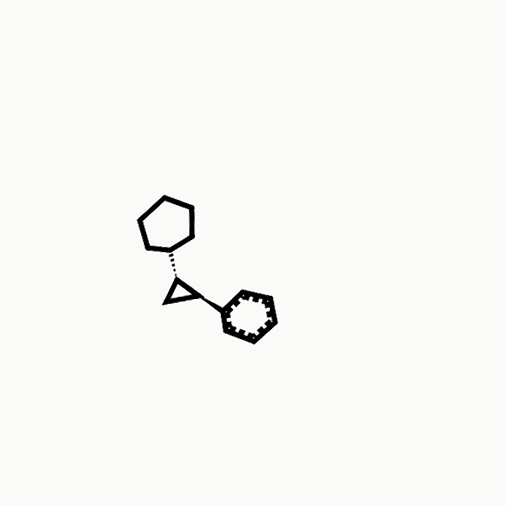 c1ccc([C@H]2C[C@@H]2C2CCCCC2)cc1